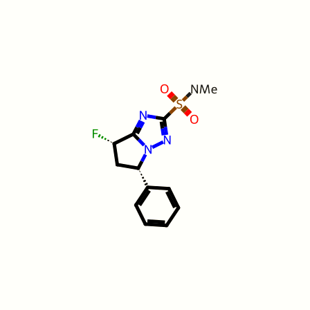 CNS(=O)(=O)c1nc2n(n1)[C@H](c1ccccc1)C[C@@H]2F